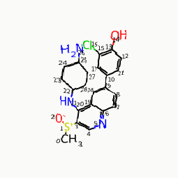 C[S+]([O-])c1cnc2ccc(-c3ccc(O)c(Cl)c3)cc2c1NC1CCC(N)CC1